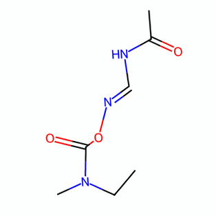 CCN(C)C(=O)ON=CNC(C)=O